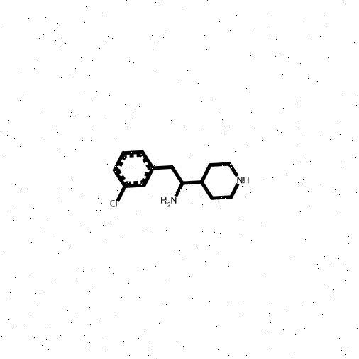 NC(Cc1cccc(Cl)c1)C1CCNCC1